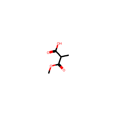 COC(=O)[C](C)C(=O)O